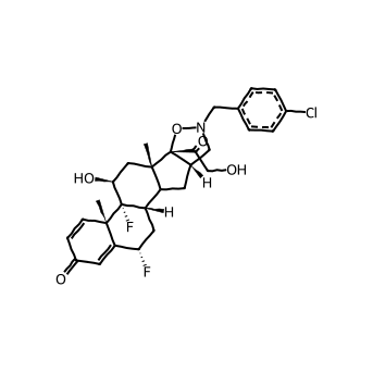 C[C@]12C=CC(=O)C=C1[C@@H](F)C[C@H]1C3C[C@H]4CN(Cc5ccc(Cl)cc5)O[C@@]4(C(=O)CO)[C@@]3(C)C[C@H](O)[C@@]12F